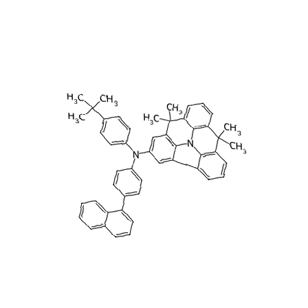 CC(C)(C)c1ccc(N(c2ccc(-c3cccc4ccccc34)cc2)c2cc3c4c(c2)c2cccc5c2n4-c2c(cccc2C3(C)C)C5(C)C)cc1